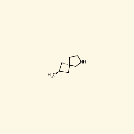 C[C@H]1C[C@@]2(CCNC2)C1